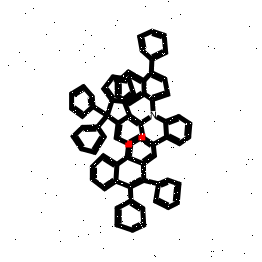 c1ccc(-c2ccc(N(c3ccccc3-c3ccc4c(c3)c(-c3ccccc3)c(-c3ccccc3)c3ccccc34)c3cccc4c3-c3ccccc3C4(c3ccccc3)c3ccccc3)c3ccccc23)cc1